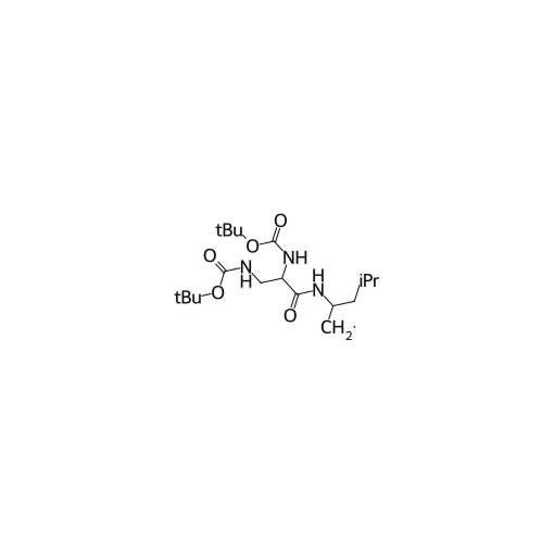 [CH2]C(CC(C)C)NC(=O)C(CNC(=O)OC(C)(C)C)NC(=O)OC(C)(C)C